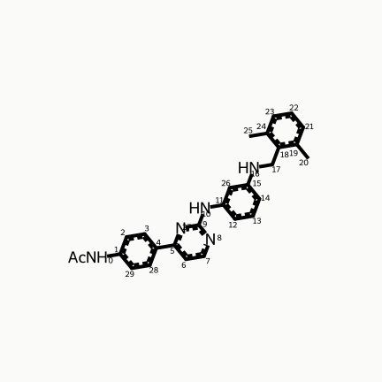 CC(=O)Nc1ccc(-c2ccnc(Nc3cccc(NCc4c(C)cccc4C)c3)n2)cc1